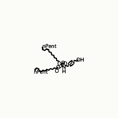 CCCCC/C=C\C/C=C\CCCCCCCCOC(=O)[C@H](COC(=O)CCCCCCC/C=C\C/C=C\CCCCC)NC(=O)CN1CCN(CCO)CC1